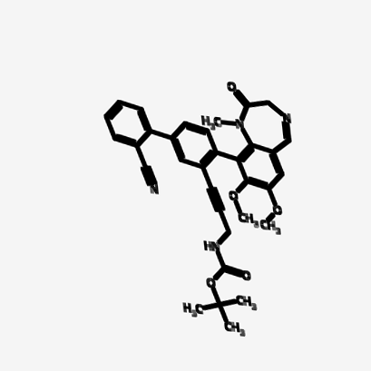 COc1cc2c(c(-c3ccc(-c4ccccc4C#N)cc3C#CCNC(=O)OC(C)(C)C)c1OC)N(C)C(=O)CN=C2